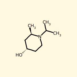 CC(C)N1CC[C@H](O)C[C@H]1C